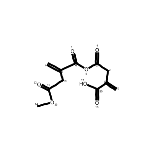 C=C(CC(=O)OC(=O)C(=C)CC(=O)OC)C(=O)O